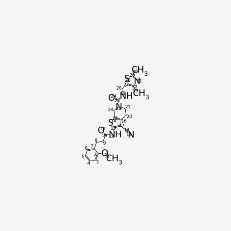 COc1ccccc1CCC(=O)Nc1sc2c(c1C#N)CCN(C(=O)NCc1sc(C)nc1C)C2